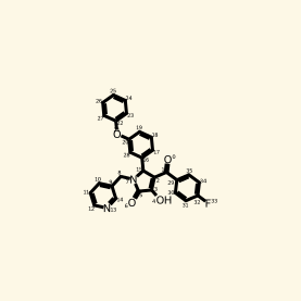 O=C(C1=C(O)C(=O)N(Cc2cccnc2)C1c1cccc(Oc2ccccc2)c1)c1ccc(F)cc1